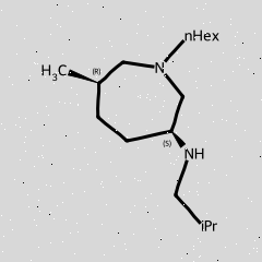 CCCCCCN1C[C@H](C)CC[C@H](NCC(C)C)C1